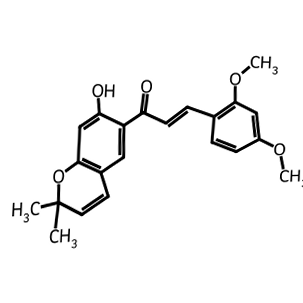 COc1ccc(/C=C/C(=O)c2cc3c(cc2O)OC(C)(C)C=C3)c(OC)c1